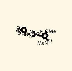 CNC(=O)c1cc(COc2cnc(Nc3cccc(S(C)(=O)=O)c3)nc2)c(F)c(OC)c1